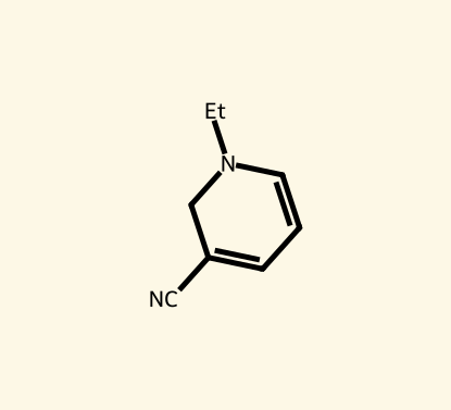 CCN1C=CC=C(C#N)C1